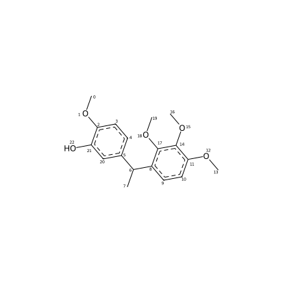 COc1ccc(C(C)c2ccc(OC)c(OC)c2OC)cc1O